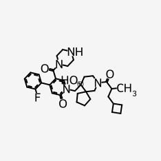 CC(CC1CCC1)C(=O)N1CC[C@](O)(Cn2cc(C(=O)N3CCNCC3)c(-c3ccccc3F)cc2=O)C2(CCCC2)C1